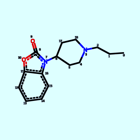 CCCN1CCC(n2c(=O)oc3ccccc32)CC1